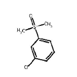 C[S+](C)(=O)c1cccc(Cl)c1